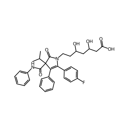 CC(C)C1(C(=O)Nc2ccccc2)C(=O)N(CCC(O)CC(O)CC(=O)O)C(c2ccc(F)cc2)=C1c1ccccc1